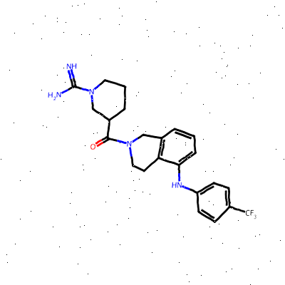 N=C(N)N1CCCC(C(=O)N2CCc3c(cccc3Nc3ccc(C(F)(F)F)cc3)C2)C1